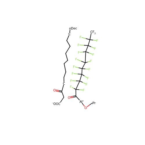 CC(C)[O][Al+][C](=O)C(F)(F)C(F)(F)C(F)(F)C(F)(F)C(F)(F)C(F)(F)C(F)(F)C(F)(F)C(F)(F)F.CCCCCCCCCCCCCCCCCCCC(=O)CC(=O)[O-]